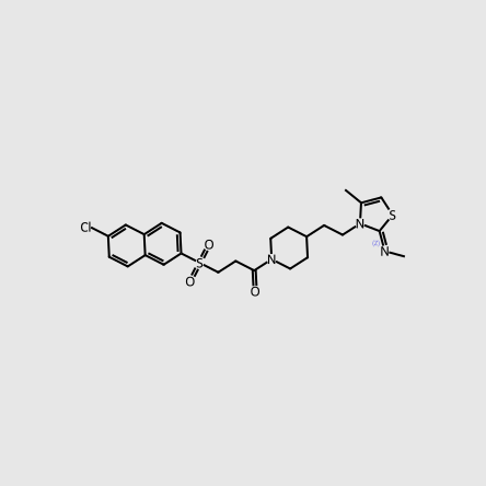 C/N=c1\scc(C)n1CCC1CCN(C(=O)CCS(=O)(=O)c2ccc3cc(Cl)ccc3c2)CC1